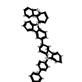 C1=CC2Sc3cccc(-n4c5ccccc5c5cc(-c6ccc7c(c6)c6ccccc6n7-c6ccc(-c7ccccc7)cc6)ccc54)c3C2C=C1